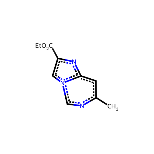 CCOC(=O)c1cn2cnc(C)cc2n1